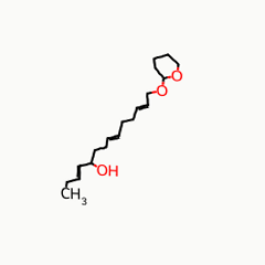 CCC=CC(O)CCC=CCCC=CCOC1CCCCO1